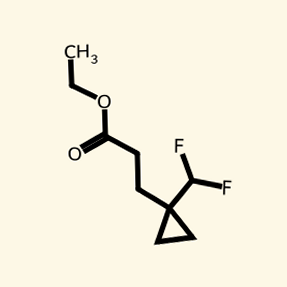 CCOC(=O)CCC1(C(F)F)CC1